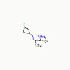 N#CC(N)=C(C#N)N=Cc1cccc(F)c1